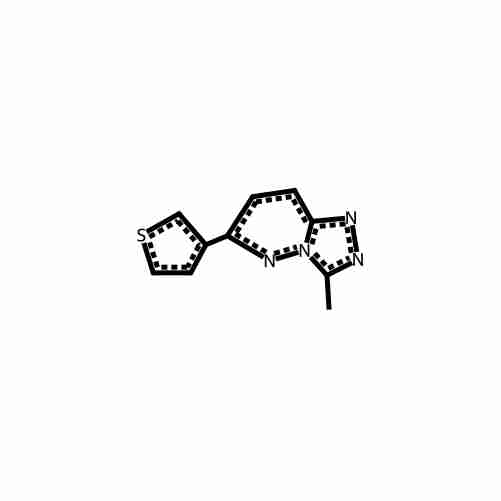 Cc1nnc2ccc(-c3ccsc3)nn12